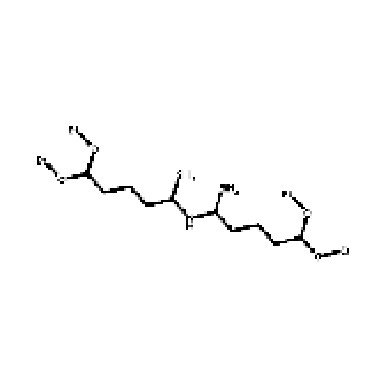 CCOC(CCCC([SiH3])NC([SiH3])CCCC(OCC)OCC)OCC